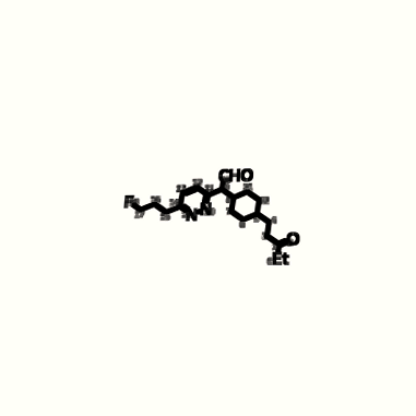 CCC(=O)CCC1CCC(C(C=O)c2ccc(CCCF)nn2)CC1